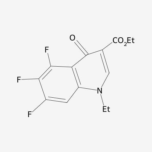 CCOC(=O)c1cn(CC)c2cc(F)c(F)c(F)c2c1=O